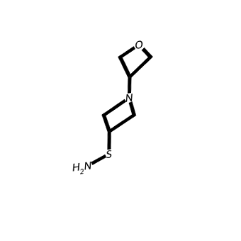 NSC1CN(C2COC2)C1